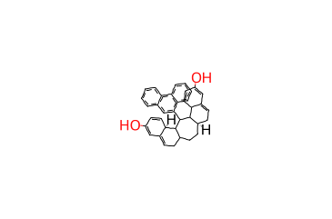 OC1=CC2=CC[C@H]3CCC4CC=C5C=C(O)C=C[C@H]5C4C(c4cc5ccccc5c5ccccc45)C3C2C=C1